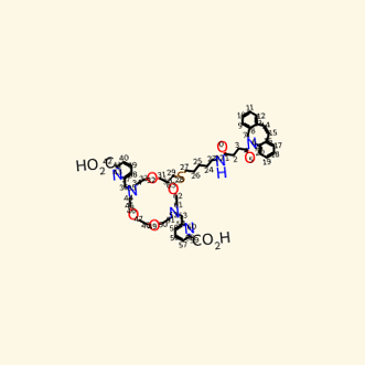 O=C(CCC(=O)N1Cc2ccccc2/C=C\c2ccccc21)NCCCCCSC[C@@H]1COCCN(Cc2cccc(C(=O)O)n2)CCOCCOCCN(Cc2cccc(C(=O)O)n2)CCO1